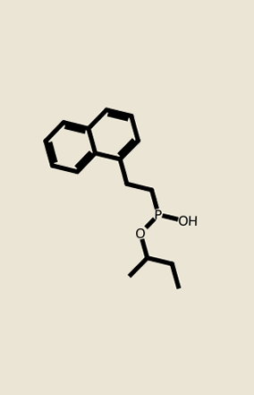 CCC(C)OP(O)CCc1cccc2ccccc12